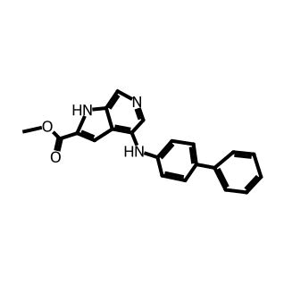 COC(=O)c1cc2c(Nc3ccc(-c4ccccc4)cc3)cncc2[nH]1